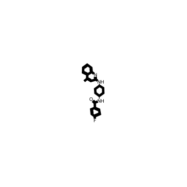 Cc1cc(N[C@H]2CC[C@@H](NC(=O)c3ccc(F)cc3)CC2)nc2ccccc12